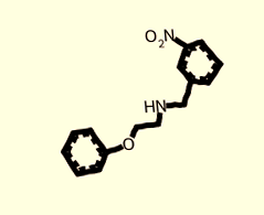 O=[N+]([O-])c1cccc(CNCCOc2ccccc2)c1